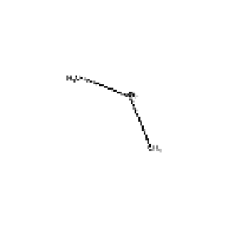 CCCCCCCCCCCCCCCCCCCCCC=CC1=C(C=CCCCCCCCCCCCCCCCCCCCCC)[N]C=C1